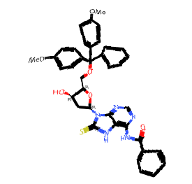 COc1ccc(C(OC[C@H]2O[C@@H](n3c(=S)[nH]c4c(NC(=O)c5ccccc5)ncnc43)C[C@H]2O)(c2ccccc2)c2ccc(OC)cc2)cc1